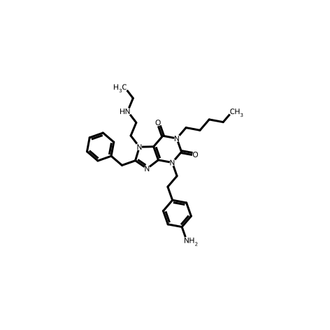 CCCCCn1c(=O)c2c(nc(Cc3ccccc3)n2CCNCC)n(CCc2ccc(N)cc2)c1=O